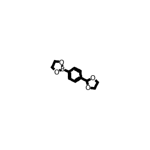 c1cc(C2OCCO2)ccc1B1OCCO1